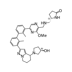 COc1nc(-c2cccc(-c3cccc(-c4cc5n(n4)CCCC5N4CC[C@@H](O)C4)c3C)c2C)cnc1CNC[C@@H]1CCC(=O)N1